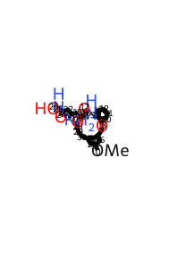 COc1cc2cc(c1)COc1ccccc1NC(=O)[C@H](C[C@@H](N)CC(=O)NO)OCCC2